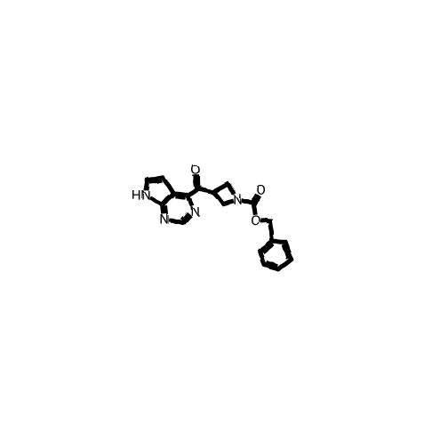 O=C(c1ncnc2[nH]ccc12)C1CN(C(=O)OCc2ccccc2)C1